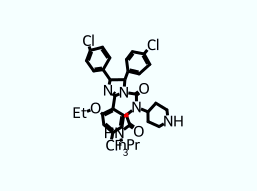 CCCNC(=O)CN(C(=O)N1C(c2ccc(C(F)(F)F)cc2OCC)=NC(c2ccc(Cl)cc2)C1c1ccc(Cl)cc1)C1CCNCC1